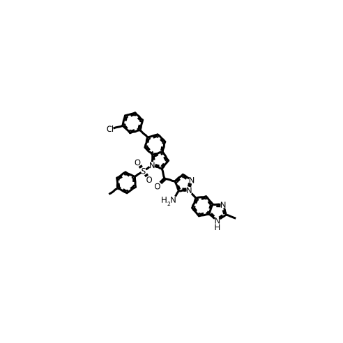 Cc1ccc(S(=O)(=O)n2c(C(=O)c3cnn(-c4ccc5[nH]c(C)nc5c4)c3N)cc3ccc(-c4cccc(Cl)c4)cc32)cc1